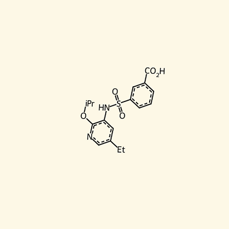 CCc1cnc(OC(C)C)c(NS(=O)(=O)c2cccc(C(=O)O)c2)c1